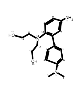 CN(C)c1ccc(-c2cc(N)ccc2N(CCO)CCO)cc1